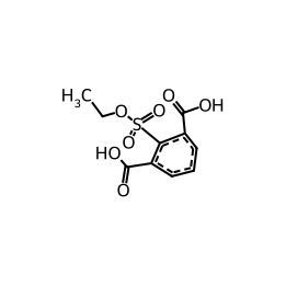 CCOS(=O)(=O)c1c(C(=O)O)cccc1C(=O)O